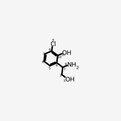 NC(CO)c1cccc(Cl)c1O